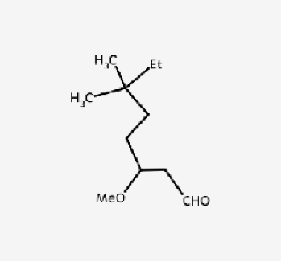 CCC(C)(C)CCC(CC=O)OC